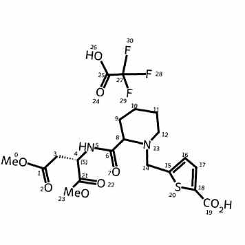 COC(=O)C[C@H](NC(=O)C1CCCCN1Cc1ccc(C(=O)O)s1)C(=O)OC.O=C(O)C(F)(F)F